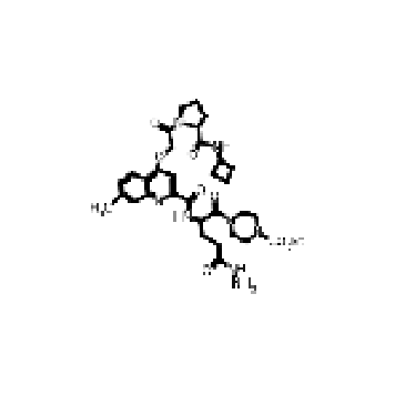 CCOC(=O)N1CCN(C(=O)C(CCC(=O)NN)NC(=O)c2cc(OCC(=O)N3CCCC3C(=O)NC3CCC3)c3ccc(C)cc3n2)CC1